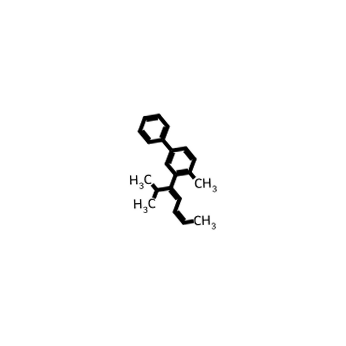 C/C=C\C=C(\c1cc(-c2ccccc2)ccc1C)C(C)C